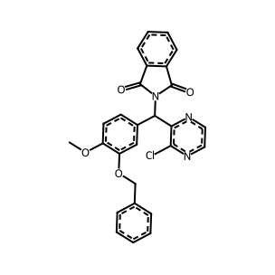 COc1ccc(C(c2nccnc2Cl)N2C(=O)c3ccccc3C2=O)cc1OCc1ccccc1